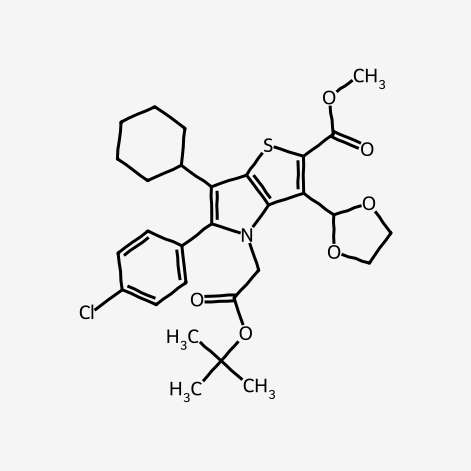 COC(=O)c1sc2c(C3CCCCC3)c(-c3ccc(Cl)cc3)n(CC(=O)OC(C)(C)C)c2c1C1OCCO1